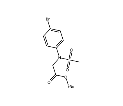 CC(C)(C)OC(=O)CN(c1ccc(Br)cc1)S(C)(=O)=O